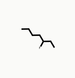 [CH2]CCCC(F)CC